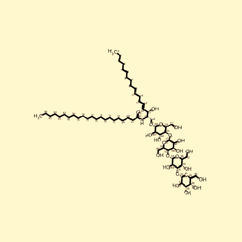 CCCCCCCCCCCCC/C=C/[C@@H](O)[C@H](CO[C@@H]1OC(CO)[C@@H](O[C@@H]2OC(CO)[C@H](O[C@@H]3OC(CO)[C@H](O)[C@H](O[C@@H]4OC(CO)[C@H](O)[C@H](O)C4O)C3O)[C@H](O)C2O)[C@H](O)C1O)NC(=O)CCCCCCCCCCCCCCCCCCCCC